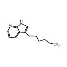 CCCCCCc1c[nH]c2ncccc12